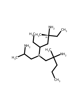 CCCC(C)(N)CN(CC(C)N)C(CC)C[C@](C)(N)CC